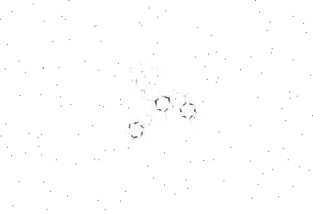 CCOc1cc2c(c(C)n1)OC(c1c(C)nc(N[C@H](C)c3ccc(OC(F)(F)F)cc3)nc1N[C@@H]1C[C@H](CO)[C@@H](O)[C@H]1O)C2